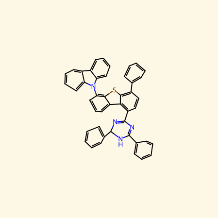 c1ccc(C2=NC(c3ccc(-c4ccccc4)c4sc5c(-n6c7ccccc7c7ccccc76)cccc5c34)=NC(c3ccccc3)N2)cc1